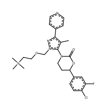 Cc1c(-c2ccncc2)nn(COCC[Si](C)(C)C)c1N1CCC(c2ccc(Cl)c(F)c2)OC1=O